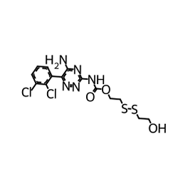 Nc1nc(NC(=O)OCCSSCCO)nnc1-c1cccc(Cl)c1Cl